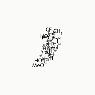 COC[C@]1(O)CC[C@H]2[C@H](CC[C@@H]3[C@@H]2CC[C@]2(C)[C@@H]([C@H](C)C(O)C(F)(F)F)CC[C@@H]32)C1